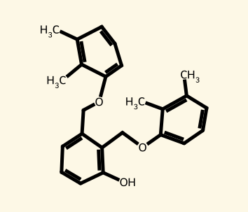 Cc1cccc(OCc2cccc(O)c2COc2cccc(C)c2C)c1C